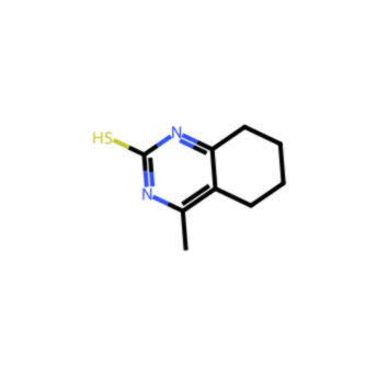 Cc1nc(S)nc2c1CCCC2